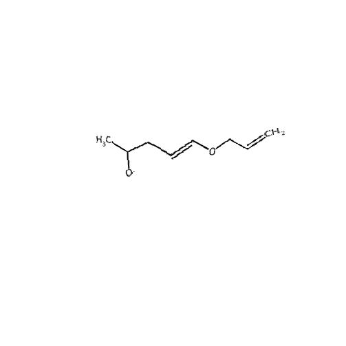 C=CCOC=CCC(C)[O]